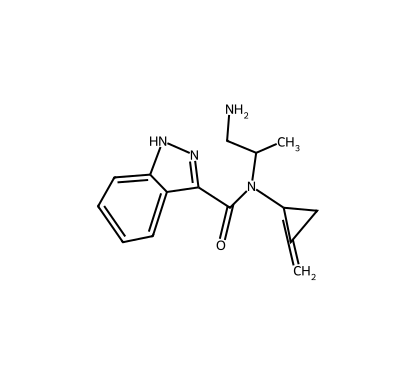 C=C1CC1N(C(=O)c1n[nH]c2ccccc12)C(C)CN